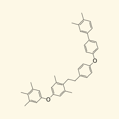 Cc1ccc(-c2ccc(Oc3ccc(CCc4c(C)cc(Oc5cc(C)c(C)c(C)c5)cc4C)cc3)cc2)cc1C